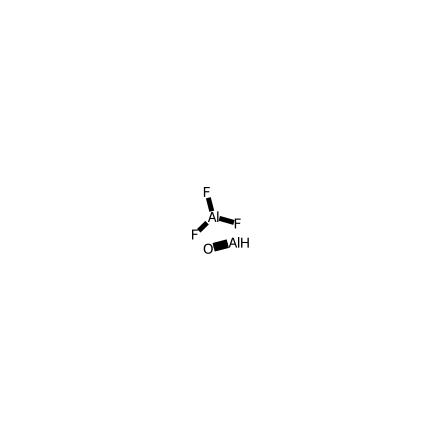 [F][Al]([F])[F].[O]=[AlH]